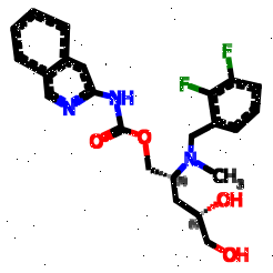 CN(Cc1cccc(F)c1F)[C@@H](COC(=O)Nc1cc2ccccc2cn1)C[C@H](O)CO